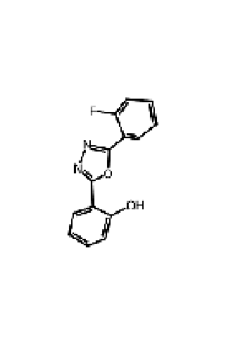 Oc1ccccc1-c1nnc(-c2ccccc2F)o1